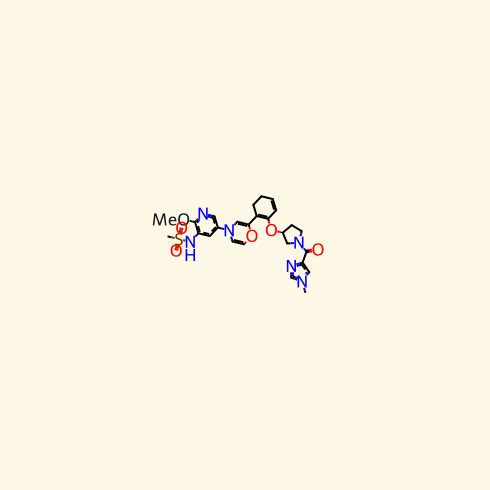 COc1ncc(N2C=COC(C3=C(O[C@H]4CCN(C(=O)c5cn(C)cn5)C4)C=CCC3)=C2)cc1NS(C)(=O)=O